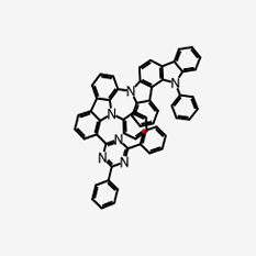 c1ccc(-c2nc(-c3ccccc3)nc(-c3cccc4c5cccc(-n6c7ccccc7c7c6ccc6c8ccccc8n(-c8ccccc8)c67)c5n(-c5ccccc5)c34)n2)cc1